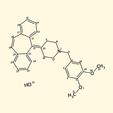 COc1ccc(CN2CCC(=C3c4ccccc4C=Cc4ccccc43)CC2)cc1OC.Cl